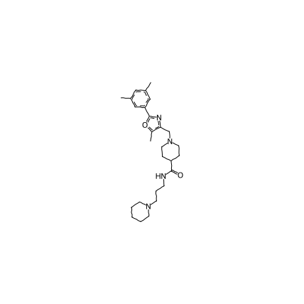 Cc1cc(C)cc(-c2nc(CN3CCC(C(=O)NCCCN4CCCCC4)CC3)c(C)o2)c1